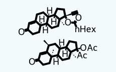 C#C[C@]1(OC(=O)CCCCCC)CC[C@H]2[C@@H]3CCC4=CC(=O)CC[C@@H]4[C@H]3CC[C@@]21C.CC(=O)O[C@]1(C(C)=O)CC[C@H]2[C@@H]3C[C@H](C)C4=CC(=O)CC[C@]4(C)[C@H]3CC[C@@]21C